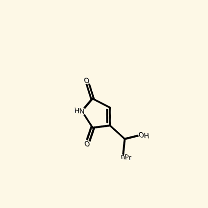 CCCC(O)C1=CC(=O)NC1=O